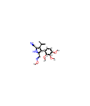 C=C(C)c1c(C#N)[nH]c(/C=N/OC)c1-c1ccc(OC)c(OC)c1OC